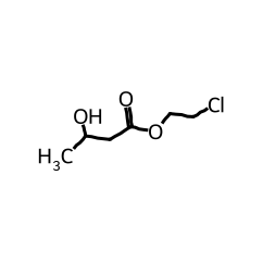 CC(O)CC(=O)OCCCl